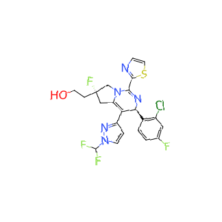 OCC[C@]1(F)CC2=C(c3ccn(C(F)F)n3)[C@H](c3ccc(F)cc3Cl)N=C(c3nccs3)N2C1